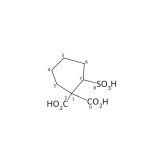 O=C(O)C1(C(=O)O)CCCCC1S(=O)(=O)O